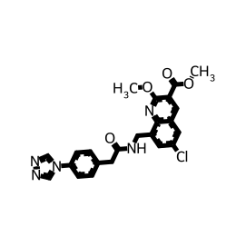 COC(=O)c1cc2cc(Cl)cc(CNC(=O)Cc3ccc(-n4cnnc4)cc3)c2nc1OC